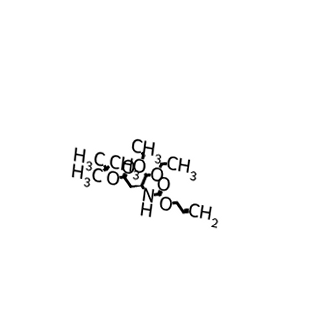 C=CCOC(=O)N[C@@H](CC(=O)OC(C)(C)C)C(OCC)OCC